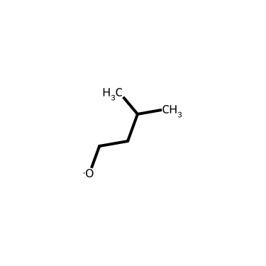 CC(C)CC[O]